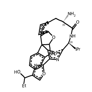 CCC(O)c1coc(-c2nc3oc2C24c5ccccc5NC2Oc2ccc(cc24)C[C@H](N)C(=O)N[C@H]3C(C)C)n1